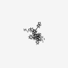 CCNc1nc(C#Cc2ccc(Cl)s2)nc2c1ncn2[C@@H]1C2C[C@@]2(C(=O)NC)[C@@H](OC(=O)[C@@H](N)c2ccccc2)[C@H]1OC(=O)[C@@H](N)c1ccccc1